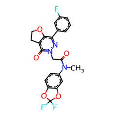 CN(C(=O)Cn1nc(-c2cccc(F)c2)c2c(c1=O)CCO2)c1ccc2c(c1)OC(F)(F)O2